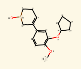 COc1ccc(C2=CCC[S+]([O-])C2)cc1OC1CCCC1